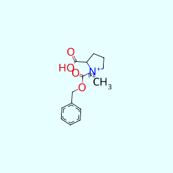 C[N@@+]1(C(=O)OCc2ccccc2)CCCC1C(=O)O